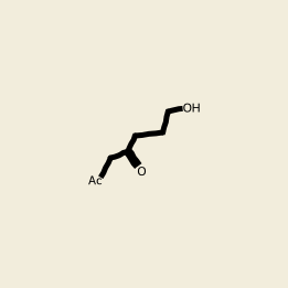 CC(=O)CC(=O)CCCO